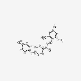 Cc1cc(Br)cc(C)c1OCC(=O)N1CCN(Cc2ccc(Cl)cc2)CC1